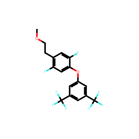 COCCc1cc(F)c(Oc2cc(C(F)(F)F)cc(C(F)(F)F)c2)cc1F